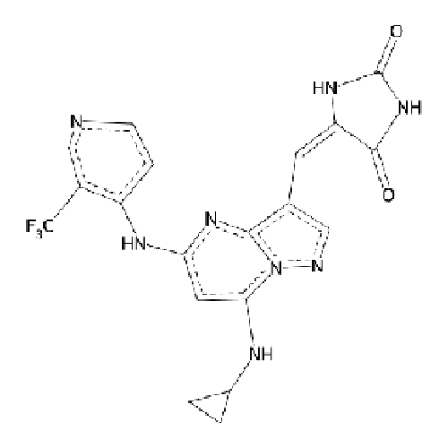 O=C1NC(=O)/C(=C\c2cnn3c(NC4CC4)cc(Nc4ccncc4C(F)(F)F)nc23)N1